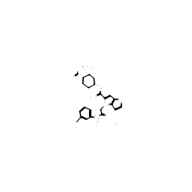 CCCCCCN(C(=O)Cn1c(C(=O)N[C@H]2CC[C@H](C(=O)OC)CC2)cc2sccc21)c1cccc(C)c1